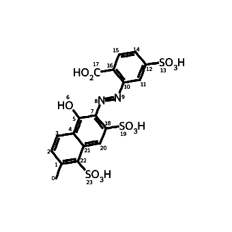 Cc1ccc2c(O)c(N=Nc3cc(S(=O)(=O)O)ccc3C(=O)O)c(S(=O)(=O)O)cc2c1S(=O)(=O)O